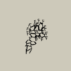 C1=[NH+]c2cccc3cccc1c23.Fc1c(F)c(F)c([B-](c2c(F)c(F)c(F)c(F)c2F)(c2c(F)c(F)c(F)c(F)c2F)c2c(F)c(F)c(F)c(F)c2F)c(F)c1F